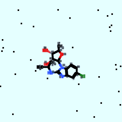 CC(C)Nc1nc2cc(Cl)ccc2n1[C@@H]1O[C@H](C)[C@@H](O)[C@H]1O